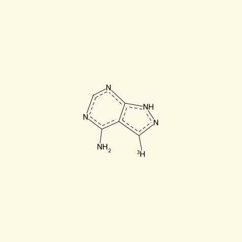 [3H]c1n[nH]c2ncnc(N)c12